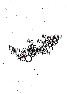 CCNC(=O)CCC(C)(C)SSC/C=C1/C2=C(CC(=O)OC)C(=O)C[C@@]1(O)C#C/C=C\C#C[C@@H]2OC1OC(C)C(NOC2CC(O)C(SC(=O)c3c(C)c(I)c(OC4OC(C)C(O)C(OC)C4O)c(C)c3OC)C(C)O2)C(O)C1OC1CC(C)C(CC(C)=O)CO1